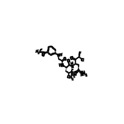 COc1cccc(NCC(=O)N[C@@H](CC(C)C)C(=O)NC(CC(N)=O)C(=O)[C@@H](F)Cl)c1